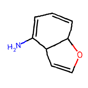 NC1=CC=CC2OC=CC12